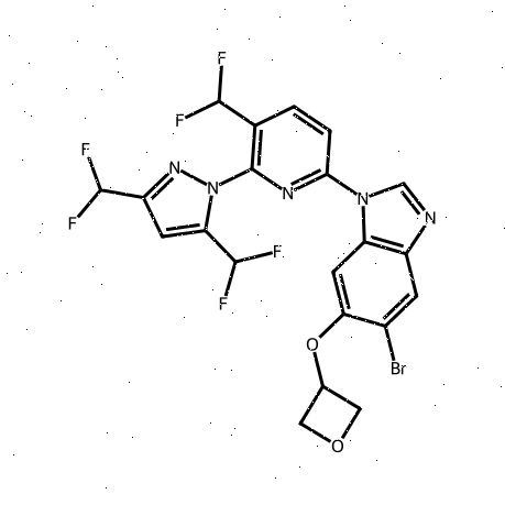 FC(F)c1cc(C(F)F)n(-c2nc(-n3cnc4cc(Br)c(OC5COC5)cc43)ccc2C(F)F)n1